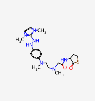 CN(CCN(C)c1ccc(NNc2n(C)cc[n+]2C)cc1)CC(=O)NC1CCSC1=O